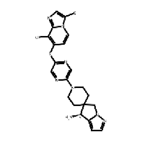 N[C@@H]1c2ccnn2CC12CCN(c1cnc(Sc3ccn4c(Cl)cnc4c3Cl)cn1)CC2